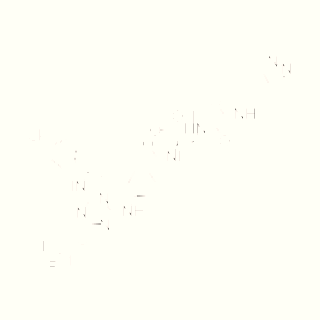 Cn1cc(CCNC(=O)C(=O)NC[C@@H](NC(=O)c2ccc(Nc3nc(NC4(c5ccc(Cl)cc5)CC4)nc(OCC(F)(F)F)n3)cc2)C(=O)O)cn1